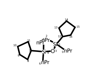 CCC[Si](CCC)(O[Si](CCC)(CCC)C1CCCC1)C1CCCC1